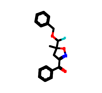 CC1(C(F)OCc2ccccc2)CC(C(=O)c2ccccc2)=NO1